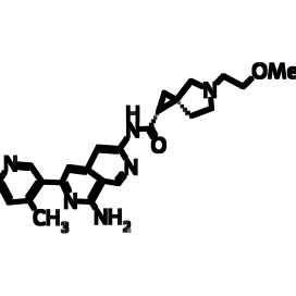 COCCN1CC[C@]2(C[C@H]2C(=O)Nc2cc3cc(-c4cnccc4C)nc(N)c3cn2)C1